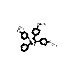 COc1ccc(-c2oc(-c3ccccc3)[n+](-c3ccc(OC)cc3)c2-c2ccc(OC)cc2)cc1